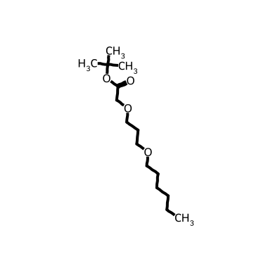 CCCCCCOCCCOCC(=O)OC(C)(C)C